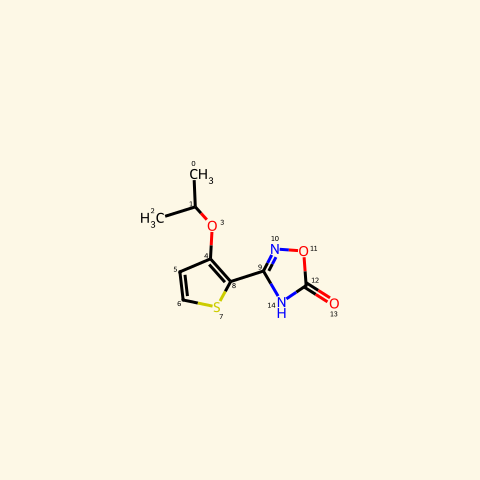 CC(C)Oc1ccsc1-c1noc(=O)[nH]1